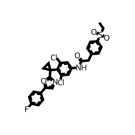 CCS(=O)(=O)c1ccc(CC(=O)Nc2cc(Cl)c(C3(c4ncc(-c5ccc(F)cc5)o4)CC3)c(Cl)c2)cc1